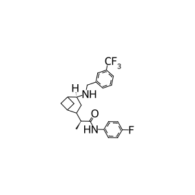 C[C@H](C(=O)Nc1ccc(F)cc1)C1C[C@H](NCc2cccc(C(F)(F)F)c2)C2CC1C2